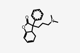 CN(C)CCCC1(c2ccccc2)C(=O)OC2=CC=CCC21